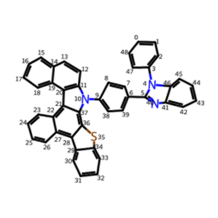 c1ccc(-n2c(-c3ccc(-n4c5ccc6ccccc6c5c5c6ccccc6c6c7ccccc7sc6c54)cc3)nc3ccccc32)cc1